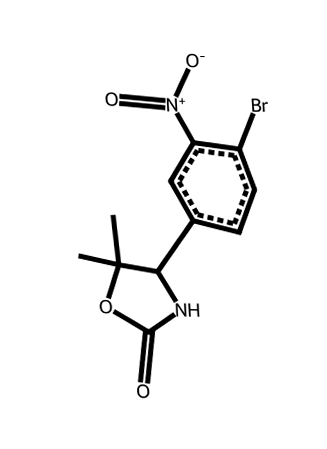 CC1(C)OC(=O)NC1c1ccc(Br)c([N+](=O)[O-])c1